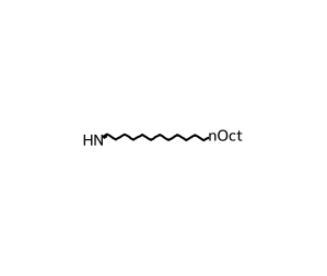 CCCCCCCCCCCCCCCCCCCC=N